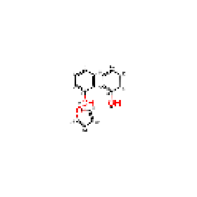 Oc1ccccc1.Oc1ccccc1.c1ccoc1